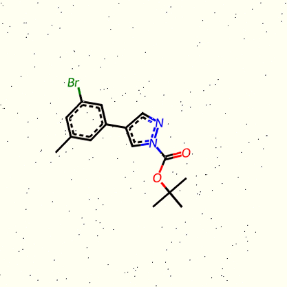 Cc1cc(Br)cc(-c2cnn(C(=O)OC(C)(C)C)c2)c1